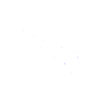 C/C(=N\c1ccccc1)N1CCc2nc(C(=O)Nc3cc(C(C)C)ccc3N)sc2C1